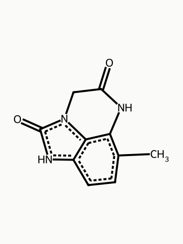 Cc1ccc2[nH]c(=O)n3c2c1NC(=O)C3